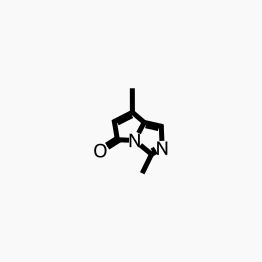 CC1=CC(=O)n2c1cnc2C